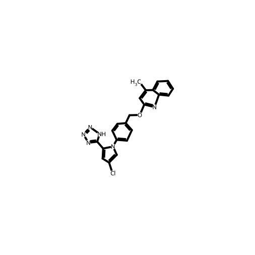 Cc1cc(OCc2ccc(-n3cc(Cl)cc3-c3nnn[nH]3)cc2)nc2ccccc12